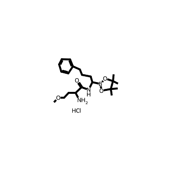 COCCC(N)C(=O)NC(CCCc1ccccc1)B1OC(C)(C)C(C)(C)O1.Cl